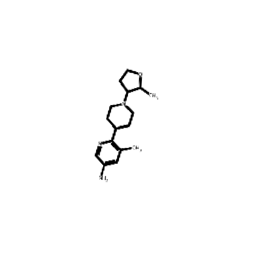 Cc1cc(N)cnc1C1CCN(C2CCOC2C)CC1